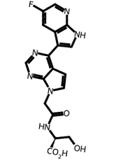 O=C(Cn1ccc2c(-c3c[nH]c4ncc(F)cc34)ncnc21)N[C@@H](CO)C(=O)O